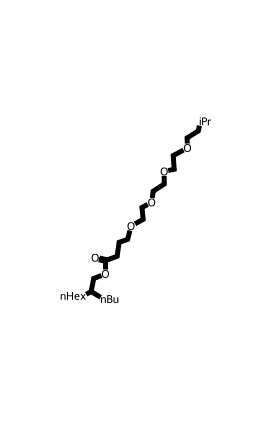 CCCCCCC(CCCC)COC(=O)CCCOCCOCCOCCOCCC(C)C